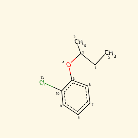 CCC(C)Oc1ccccc1Cl